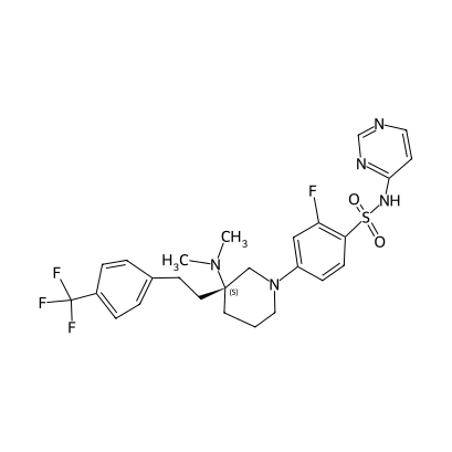 CN(C)[C@@]1(CCc2ccc(C(F)(F)F)cc2)CCCN(c2ccc(S(=O)(=O)Nc3ccncn3)c(F)c2)C1